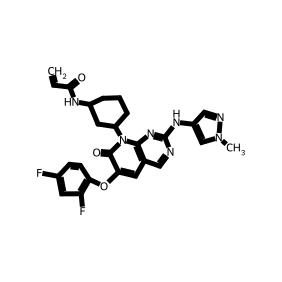 C=CC(=O)NC1CCCC(n2c(=O)c(Oc3ccc(F)cc3F)cc3cnc(Nc4cnn(C)c4)nc32)C1